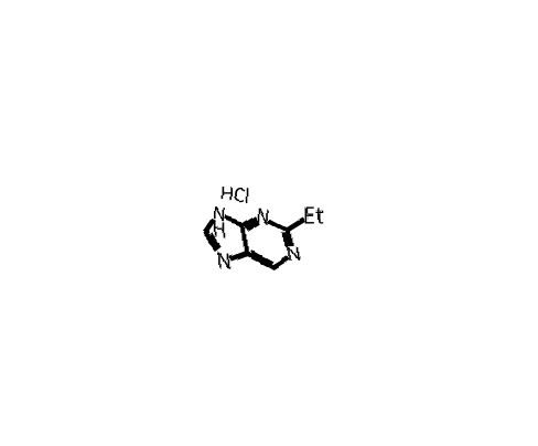 CCc1ncc2nc[nH]c2n1.Cl